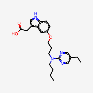 CCCCN(CCCOc1ccc2[nH]cc(CC(=O)O)c2c1)c1ncc(CC)cn1